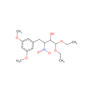 CCOC(OCC)C(O)C(Cc1cc(OC)cc(OC)c1)[N+](=O)[O-]